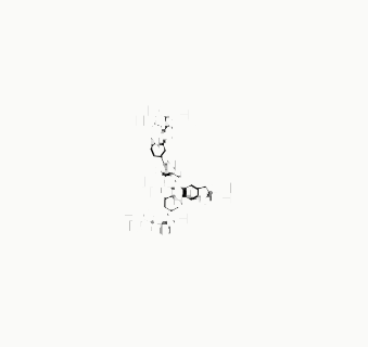 CC(C)(C)NC(=O)Oc1cc(-c2nc(C(=O)N(c3cc4c(cc3N3CCCC(NC(=O)OC(C)(C)C)C3)OC(C)(C)C4)C(C)(C)C)co2)ccn1